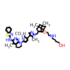 Cc1c(Nc2nc3ccccc3s2)nnc2c1CCCN2c1ccc(-c2cnn(CC34CC5(C)CC6(C)CC(OCCNCCCCO)(C3)C56C4)c2C)c(C(=O)O)n1